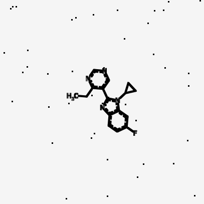 CCc1ncncc1-c1nc2ccc(F)cc2n1C1CC1